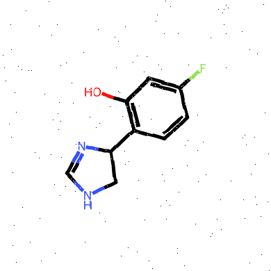 Oc1cc(F)ccc1C1CNC=N1